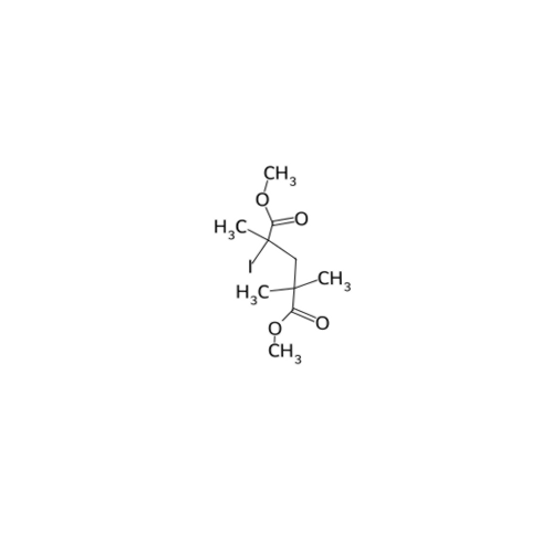 COC(=O)C(C)(C)CC(C)(I)C(=O)OC